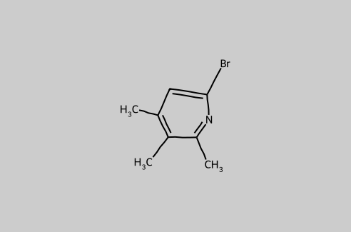 Cc1cc(Br)nc(C)c1C